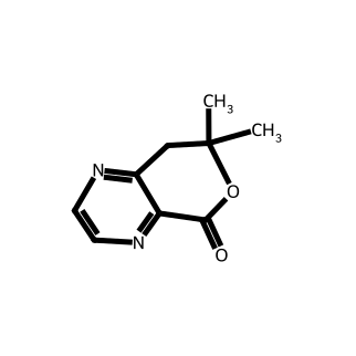 CC1(C)Cc2nccnc2C(=O)O1